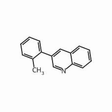 Cc1ccccc1-c1cnc2ccccc2c1